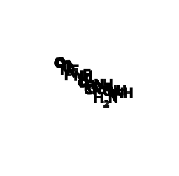 N#Cc1ccc(NCC(F)(F)c2ccc3ccccc3n2)c(F)c1CC(=O)NCCONC(=N)N